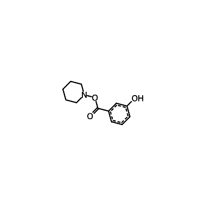 O=C(ON1CCCCC1)c1cccc(O)c1